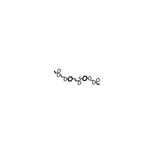 C=CC(=O)OCCCOc1ccc(/C=C/C(=O)Sc2ccc(OCCOC(=O)C=C)cc2)cc1